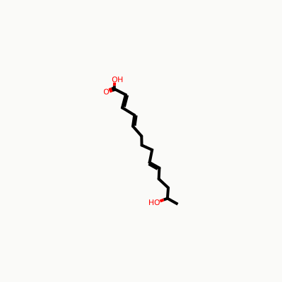 CC(O)CCC=CCCCC=CC=CC(=O)O